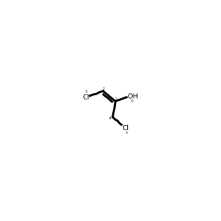 O/C(=C/Cl)CCl